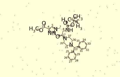 COC(=O)c1cn(C[C@H](NC(=O)OC(C)(C)C)C(=O)N2CCN(C(c3ccccc3)c3ccccc3)CC2)nn1